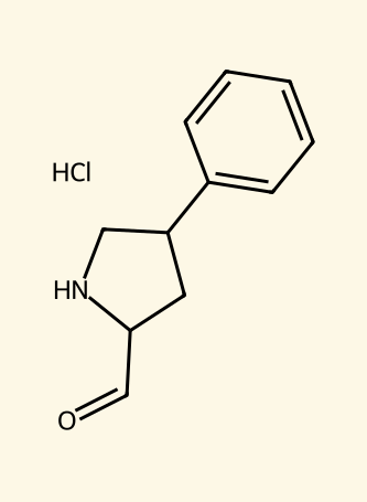 Cl.O=CC1CC(c2ccccc2)CN1